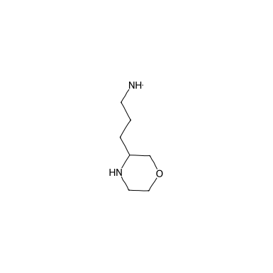 [NH]CCCC1COCCN1